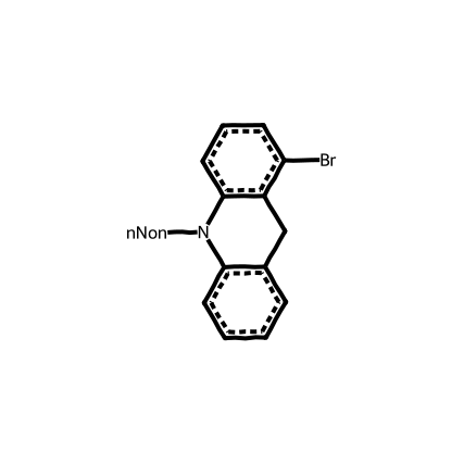 CCCCCCCCCN1c2ccccc2Cc2c(Br)cccc21